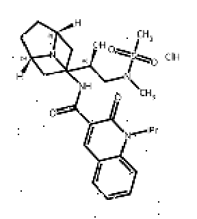 CC(C)n1c(=O)c(C(=O)NC2C[C@H]3CC[C@@H](C2)N3C[C@@H](O)CN(C)S(C)(=O)=O)cc2ccccc21.Cl